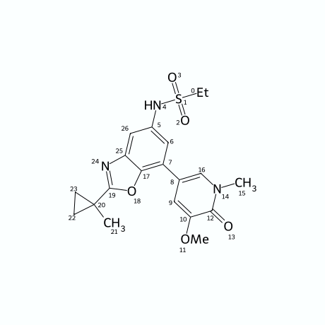 CCS(=O)(=O)Nc1cc(-c2cc(OC)c(=O)n(C)c2)c2oc(C3(C)CC3)nc2c1